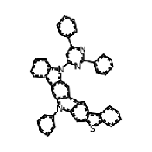 c1ccc(-c2cc(-n3c4ccccc4c4cc5c(cc43)c3cc4c(cc3n5-c3ccccc3)sc3ccccc34)nc(-c3ccccc3)n2)cc1